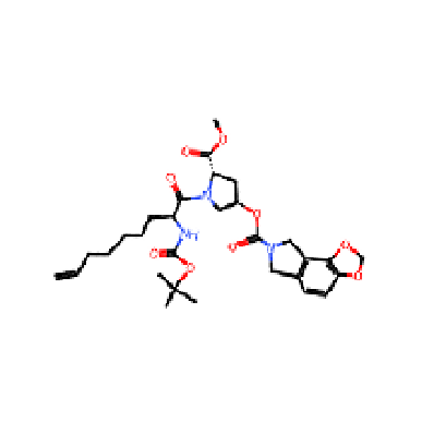 C=CCCCCC[C@H](NC(=O)OC(C)(C)C)C(=O)N1C[C@H](OC(=O)N2Cc3ccc4c(c3C2)OCO4)C[C@H]1C(=O)OC